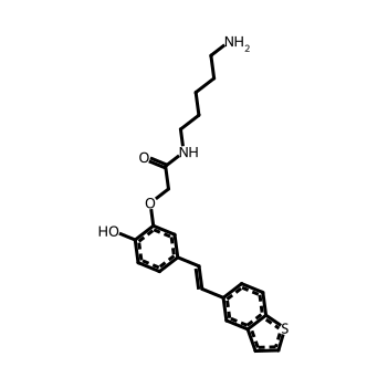 NCCCCCNC(=O)COc1cc(/C=C/c2ccc3sccc3c2)ccc1O